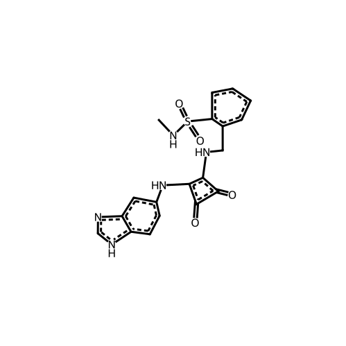 CNS(=O)(=O)c1ccccc1CNc1c(Nc2ccc3[nH]cnc3c2)c(=O)c1=O